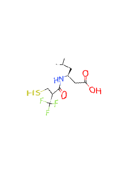 CC(C)C[C@@H](CC(=O)O)NC(=O)C(CS)C(F)(F)F